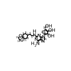 Nc1nc(NCCC2CCC3(CC2)OCCO3)nc2c1ncn2[C@@H]1O[C@H](CO)C(O)C1O